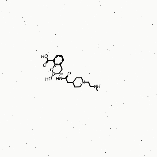 CNCCN1CCC(CC(=O)N[C@H]2Cc3cccc(C(=O)O)c3OB2O)CC1